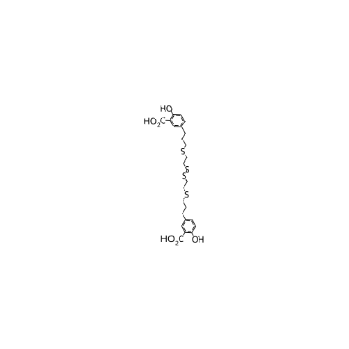 O=C(O)c1cc(CCCSCCSSCCSCCCc2ccc(O)c(C(=O)O)c2)ccc1O